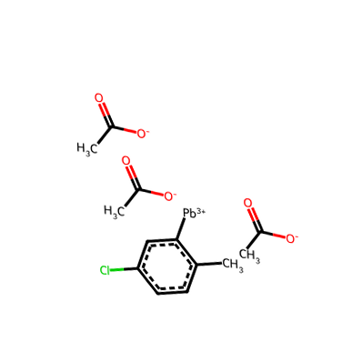 CC(=O)[O-].CC(=O)[O-].CC(=O)[O-].Cc1ccc(Cl)c[c]1[Pb+3]